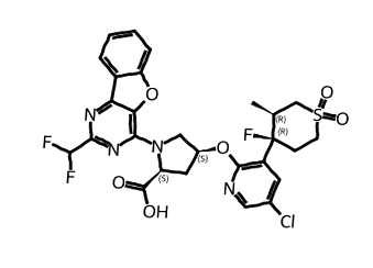 C[C@H]1CS(=O)(=O)CC[C@]1(F)c1cc(Cl)cnc1O[C@H]1C[C@@H](C(=O)O)N(c2nc(C(F)F)nc3c2oc2ccccc23)C1